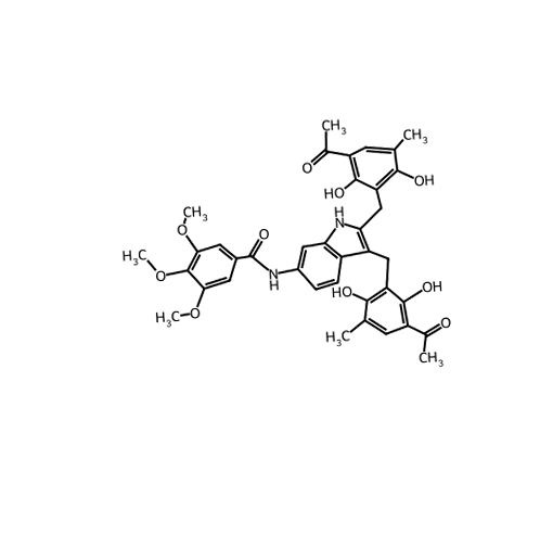 COc1cc(C(=O)Nc2ccc3c(Cc4c(O)c(C)cc(C(C)=O)c4O)c(Cc4c(O)c(C)cc(C(C)=O)c4O)[nH]c3c2)cc(OC)c1OC